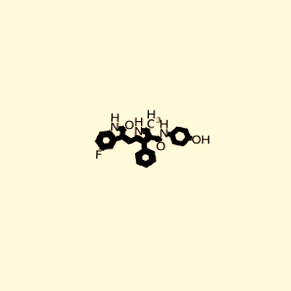 Cc1[nH]c(/C=C2\C(=O)Nc3ccc(F)cc32)c(-c2ccccc2)c1C(=O)NC1CCC(O)CC1